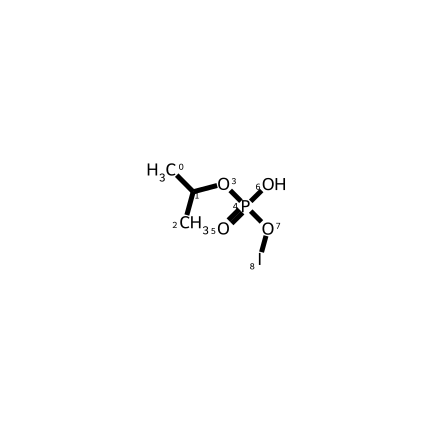 CC(C)OP(=O)(O)OI